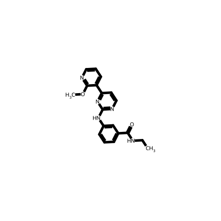 CCNC(=O)c1cccc(Nc2nccc(-c3cccnc3OC)n2)c1